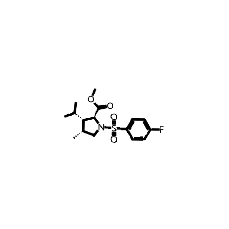 COC(=O)[C@@H]1[C@@H](C(C)C)[C@@H](C)CN1S(=O)(=O)c1ccc(F)cc1